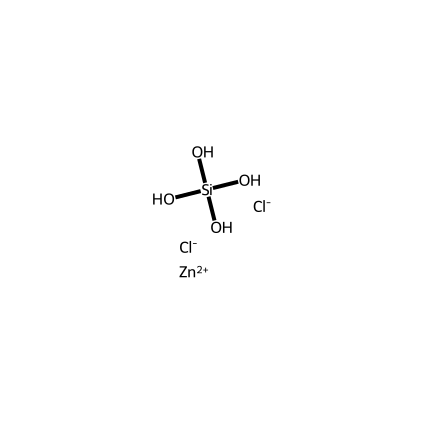 O[Si](O)(O)O.[Cl-].[Cl-].[Zn+2]